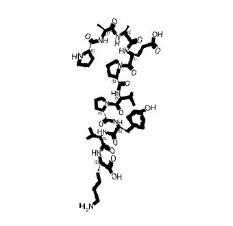 CC(C)[C@H](NC(=O)[C@H](Cc1ccc(O)cc1)NC(=O)[C@@H]1CCCN1C(=O)[C@@H](NC(=O)[C@@H]1CCCN1C(=O)[C@H](CCC(=O)O)NC(=O)[C@H](C)NC(=O)[C@H](C)NC(=O)[C@@H]1CCCN1)C(C)C)C(=O)N[C@@H](CCCCN)C(=O)O